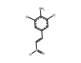 Nc1c(Cl)cc(/C=C/[N+](=O)[O-])cc1Cl